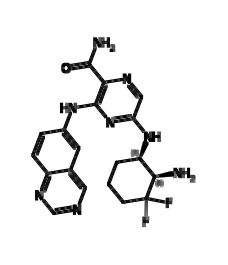 NC(=O)c1ncc(N[C@@H]2CCCC(F)(F)[C@@H]2N)nc1Nc1ccc2ncncc2c1